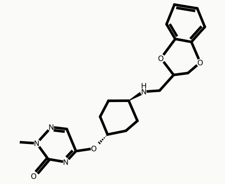 Cn1ncc(O[C@H]2CC[C@H](NCC3COc4ccccc4O3)CC2)nc1=O